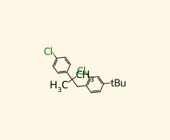 CC(C)(C)c1ccc(CC(C)(C)c2ccc(Cl)cc2)c(Cl)c1